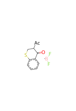 CC(=O)C1CSc2ccccc2C1=O.F[B]F